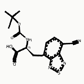 CC(C)(C)OC(=O)N[C@@H](Cc1ccc(C#N)c2nsnc12)C(=O)O